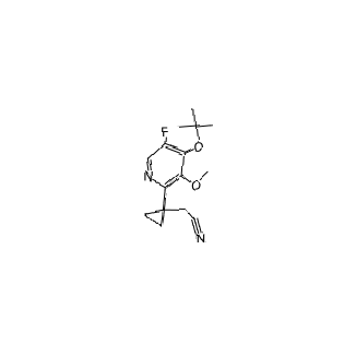 COc1c(C2(CC#N)CC2)ncc(F)c1OC(C)(C)C